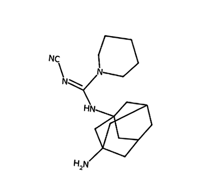 N#C/N=C(/NC12CC3CC(CC(N)(C3)C1)C2)N1CCCCC1